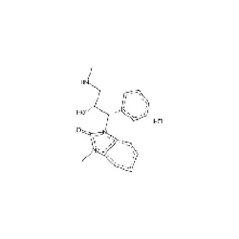 CNC[C@@H](O)[C@H](c1ccccc1)n1c(=O)n(C)c2ccccc21.Cl